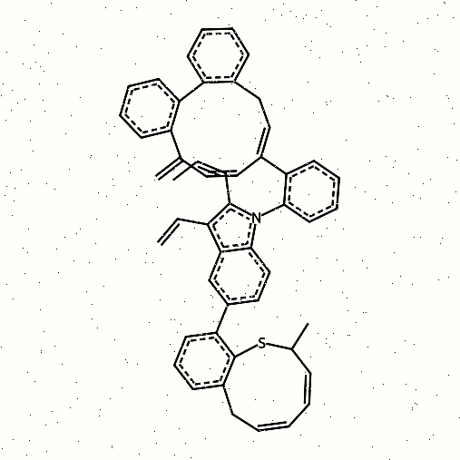 C=Cc1c(/C=C\C)n(-c2ccccc2C2=C/Cc3ccccc3-c3ccccc3C(=C)/C=C\2)c2ccc(-c3cccc4c3SC(C)/C=C\C=C/C4)cc12